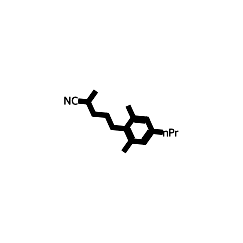 CCCc1cc(C)c(CCCC(C)C#N)c(C)c1